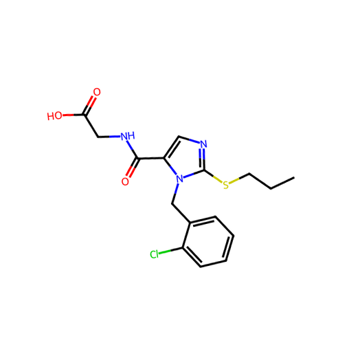 CCCSc1ncc(C(=O)NCC(=O)O)n1Cc1ccccc1Cl